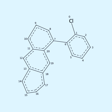 Clc1ccccc1-c1cccc2cc3ccccc3cc12